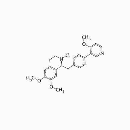 COc1cc2c(cc1OC)C(Cc1ccc(-c3cnccc3OC)cc1)N(Cl)CC2